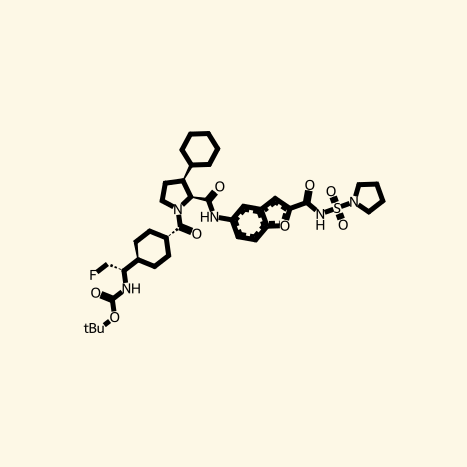 CC(C)(C)OC(=O)N[C@H](CF)[C@H]1CC[C@H](C(=O)N2CC[C@@H](C3CCCCC3)[C@H]2C(=O)Nc2ccc3oc(C(=O)NS(=O)(=O)N4CCCC4)cc3c2)CC1